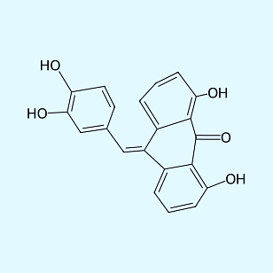 O=C1c2c(O)cccc2C(=Cc2ccc(O)c(O)c2)c2cccc(O)c21